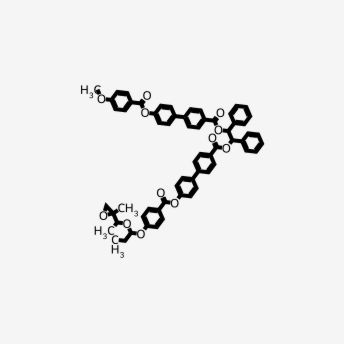 CCC(Oc1ccc(C(=O)Oc2ccc(-c3ccc(C(=O)OC(c4ccccc4)C(OC(=O)c4ccc(-c5ccc(OC(=O)c6ccc(OC)cc6)cc5)cc4)c4ccccc4)cc3)cc2)cc1)OC(C)C1(C)CO1